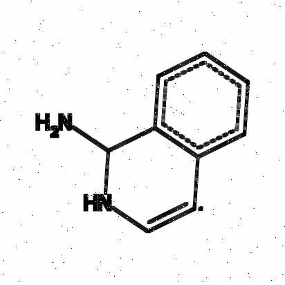 NC1NC=[C]c2ccccc21